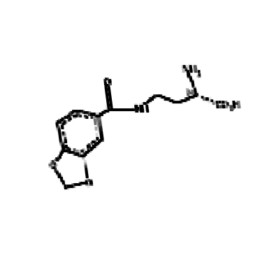 N[C@@H](CCNC(=O)c1ccc2c(c1)OCO2)C(=O)O